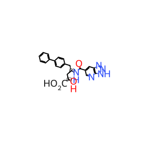 O=C(N[C@H](Cc1ccc(-c2ccccc2)cc1)C[C@H](O)C(=O)O)c1cnc2[nH]nnc2c1